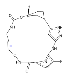 O=C1NC/C=C/CNC(=O)c2ccc(F)c(n2)Nc2cc([nH]n2)C2CC[C@H](C2)O1